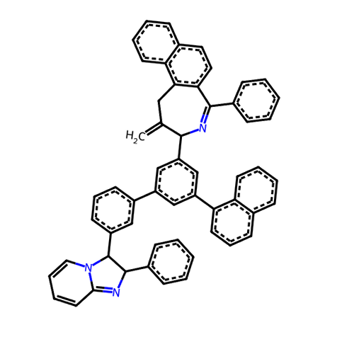 C=C1Cc2c(ccc3ccccc23)C(c2ccccc2)=NC1c1cc(-c2cccc(C3C(c4ccccc4)N=C4C=CC=CN43)c2)cc(-c2cccc3ccccc23)c1